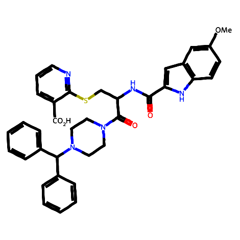 COc1ccc2[nH]c(C(=O)NC(CSc3ncccc3C(=O)O)C(=O)N3CCN(C(c4ccccc4)c4ccccc4)CC3)cc2c1